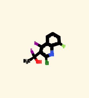 C[C@@](O)(I)c1c(Cl)nc2c(F)cccc2c1I